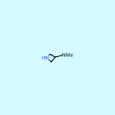 CNC1CNC1